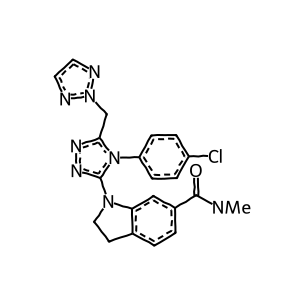 CNC(=O)c1ccc2c(c1)N(c1nnc(Cn3nccn3)n1-c1ccc(Cl)cc1)CC2